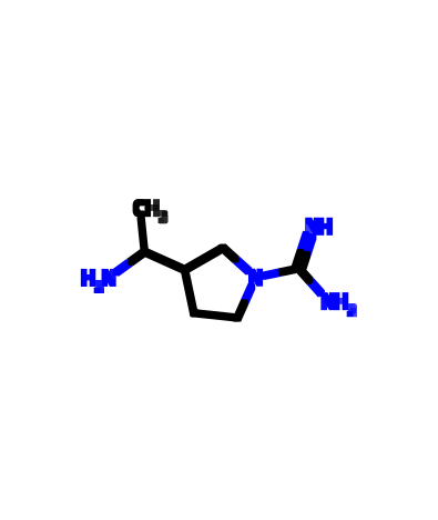 CC(N)C1CCN(C(=N)N)C1